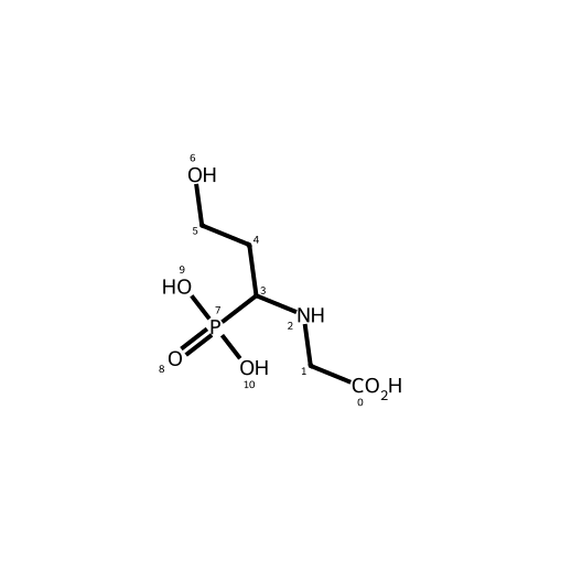 O=C(O)CNC(CCO)P(=O)(O)O